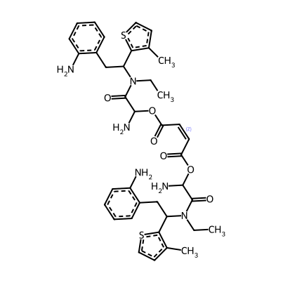 CCN(C(=O)C(N)OC(=O)/C=C\C(=O)OC(N)C(=O)N(CC)C(Cc1ccccc1N)c1sccc1C)C(Cc1ccccc1N)c1sccc1C